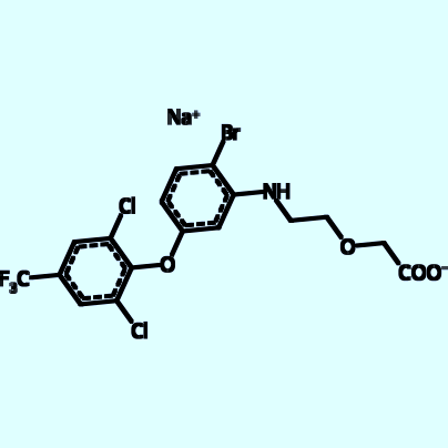 O=C([O-])COCCNc1cc(Oc2c(Cl)cc(C(F)(F)F)cc2Cl)ccc1Br.[Na+]